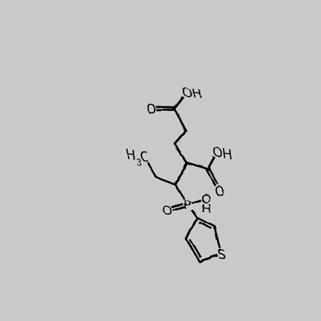 CCC(C(CCC(=O)O)C(=O)O)P(=O)(O)c1ccsc1